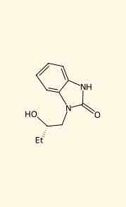 CC[C@H](O)Cn1c(=O)[nH]c2ccccc21